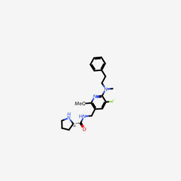 COc1nc(N(C)CCc2ccccc2)c(F)cc1CNC(=O)[C@@H]1CCCN1